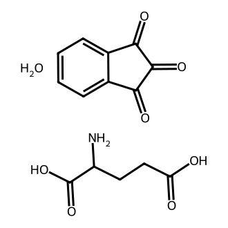 NC(CCC(=O)O)C(=O)O.O.O=c1c(=O)c2ccccc2c1=O